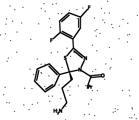 CC(C)C(=O)N1N=C(c2cc(F)ccc2F)S[C@@]1(CCCN)c1ccccc1